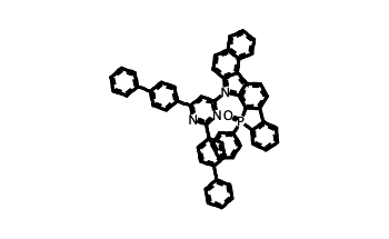 O=P1(c2ccccc2)c2ccccc2-c2ccc3c4c5ccccc5ccc4n(-c4cc(-c5ccc(-c6ccccc6)cc5)nc(-c5ccc(-c6ccccc6)cc5)n4)c3c21